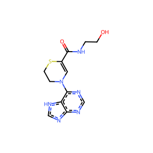 O=C(NCCO)C1=CN(c2ncnc3nc[nH]c23)CCS1